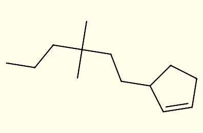 CCCC(C)(C)CCC1C=CCC1